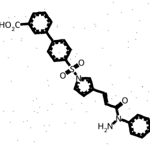 NN(C(=O)C=Cc1ccn(S(=O)(=O)c2ccc(-c3cccc(C(=O)O)c3)cc2)c1)c1ccccc1